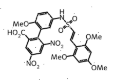 COc1cc(OC)c(C=CS(=O)(=O)Nc2ccc(OC)c(-c3c(C(=O)O)cc([N+](=O)[O-])cc3[N+](=O)[O-])c2)c(OC)c1